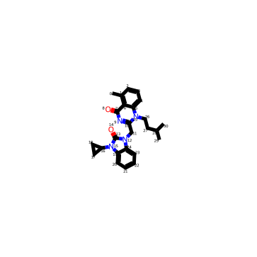 Cc1cccc2c1c(=O)nc(Cn1c(=O)n(C3CC3)c3ccccc31)n2CCC(C)C